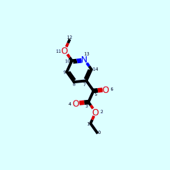 CCOC(=O)C(=O)c1ccc(OC)nc1